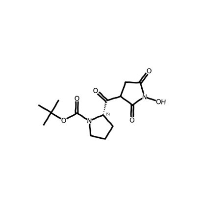 CC(C)(C)OC(=O)N1CCC[C@H]1C(=O)C1CC(=O)N(O)C1=O